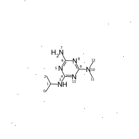 CC(C)Nc1nc(N)nc(N(C)C)n1